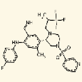 Cc1cc(Nc2ccc(F)cc2)c(C=N)cc1[C@H]1CN(S(=O)(=O)c2cccnc2)CCN1CC(C)C(F)(F)F